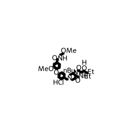 CCCCN1C(=O)[C@@H]([C@H](O)C(CC)CC)NC(=O)C12CCN(Cc1ccc(Oc3ccc(C(=O)NCCOC)cc3OC)cc1)CC2.Cl